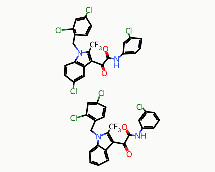 O=C(Nc1cccc(Cl)c1)C(=O)c1c(C(F)(F)F)n(Cc2ccc(Cl)cc2Cl)c2ccc(Cl)cc12.O=C(Nc1cccc(Cl)c1)C(=O)c1c(C(F)(F)F)n(Cc2ccc(Cl)cc2Cl)c2ccccc12